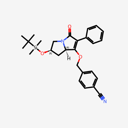 CC(C)(C)[Si](C)(C)O[C@@H]1C[C@@H]2C(OCc3ccc(C#N)cc3)=C(c3ccccc3)C(=O)N2C1